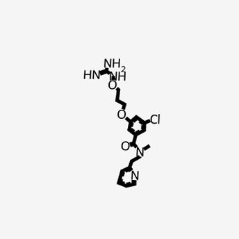 CN(CCc1ccccn1)C(=O)c1cc(Cl)cc(OCCCONC(=N)N)c1